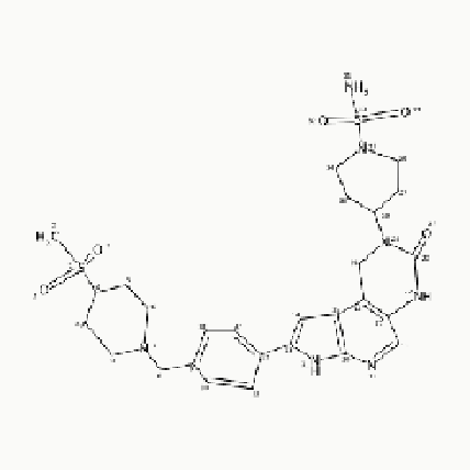 CS(=O)(=O)C1CCN(Cc2ccc(-c3cc4c5c(cnc4[nH]3)NC(=O)N(C3CCN(S(N)(=O)=O)CC3)C5)cc2)CC1